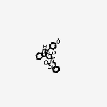 COc1ccc(C(C)NC(=O)[C@@](C)(Cc2c[nH]c3ccccc23)N(Cc2ccccc2)C(=O)O)cc1